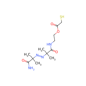 CC(C)(N=NC(C)(C)C(=O)NCCOC(=O)CS)C(N)=O